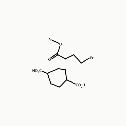 CC(C)CCCC(=O)OC(C)C.O=C(O)C1CCC(C(=O)O)CC1